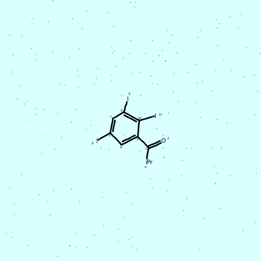 CC(C)C(=O)c1cc(I)cc(I)c1I